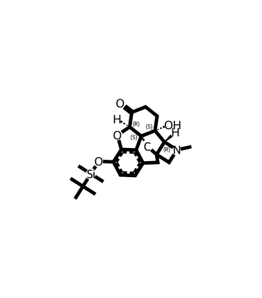 CN1CC23Cc4ccc(O[Si](C)(C)C(C)(C)C)c5c4[C@@]4(C2)[C@@H](O5)C(=O)CC[C@@]4(O)[C@H]13